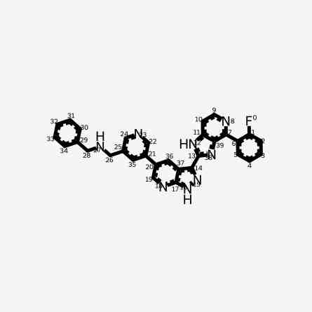 Fc1ccccc1-c1nccc2[nH]c(-c3n[nH]c4ncc(-c5cncc(CNCc6ccccc6)c5)cc34)nc12